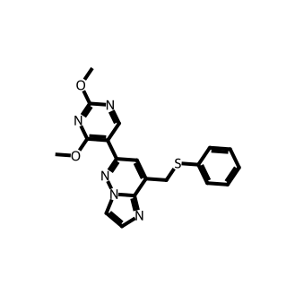 COc1ncc(-c2cc(CSc3ccccc3)c3nccn3n2)c(OC)n1